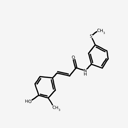 CSc1cccc(NC(=O)/C=C/c2ccc(O)c(C)c2)c1